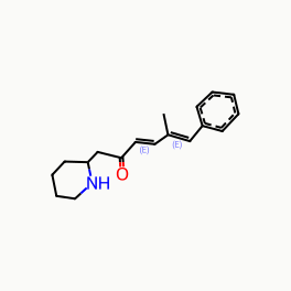 CC(/C=C/C(=O)CC1CCCCN1)=C\c1ccccc1